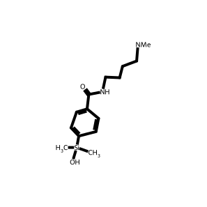 CNCCCCNC(=O)c1ccc([Si](C)(C)O)cc1